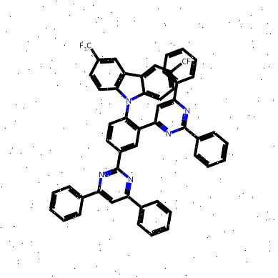 FC(F)(F)c1ccc2c(c1)c1cc(C(F)(F)F)ccc1n2-c1ccc(-c2nc(-c3ccccc3)cc(-c3ccccc3)n2)cc1-c1cc(-c2ccccc2)nc(-c2ccccc2)n1